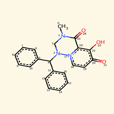 CN1CN(C(c2ccccc2)c2ccccc2)n2ccc(=O)c(O)c2C1=O